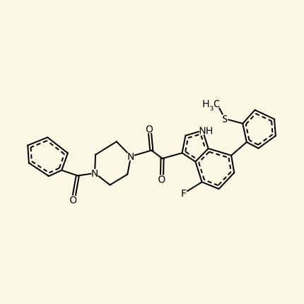 CSc1ccccc1-c1ccc(F)c2c(C(=O)C(=O)N3CCN(C(=O)c4ccccc4)CC3)c[nH]c12